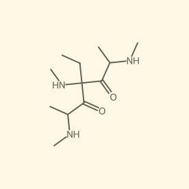 CCC(NC)(C(=O)C(C)NC)C(=O)C(C)NC